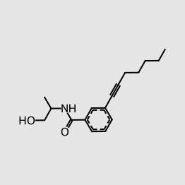 CCCCCC#Cc1cccc(C(=O)NC(C)CO)c1